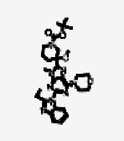 CCc1nc2ccccc2n1-c1nc(N2CCOCC2)c2nc(C3(OC)CCCN(C(=O)OC(C)(C)C)C3)n(C)c2n1